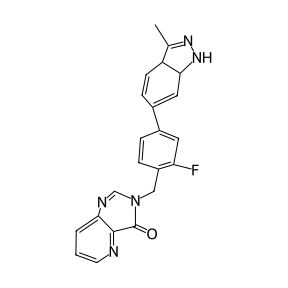 CC1=NNC2C=C(c3ccc(Cn4cnc5cccnc5c4=O)c(F)c3)C=CC12